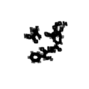 NC(C(=O)NNC(=O)[C@@H]1CC[C@@H]2CN1C(=O)N2OS(=O)(=O)O)c1ccccc1.O=C(O)C(F)(F)F